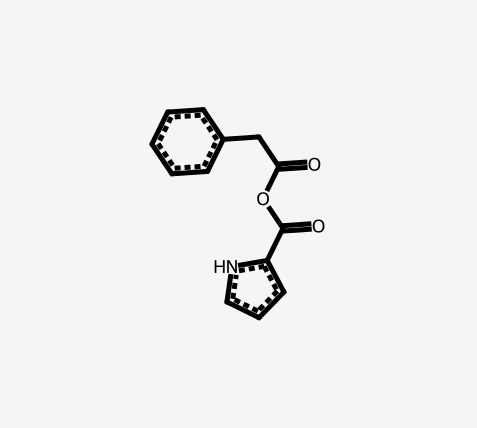 O=C(Cc1ccccc1)OC(=O)c1ccc[nH]1